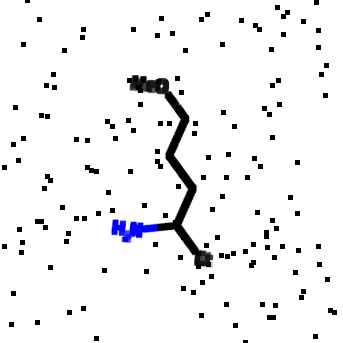 CCC(N)CCCOC